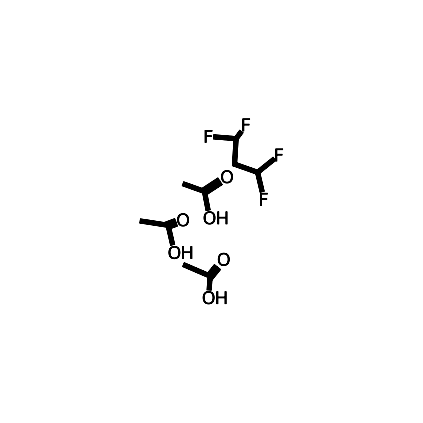 CC(=O)O.CC(=O)O.CC(=O)O.FC(F)CC(F)F